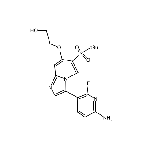 CC(C)(C)S(=O)(=O)c1cn2c(-c3ccc(N)nc3F)cnc2cc1OCCO